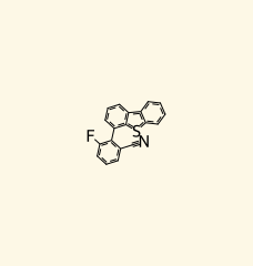 N#Cc1cccc(F)c1-c1cccc2c1sc1ccccc12